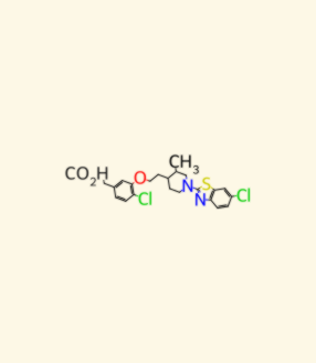 CC1CN(c2nc3ccc(Cl)cc3s2)CCC1CCOc1cc(CC(=O)O)ccc1Cl